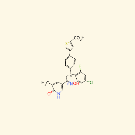 Cc1cc(/C(C[C@H](c2ccc(-c3csc(C(=O)O)c3)cc2)c2ccc(Cl)cc2F)=N/O)c[nH]c1=O